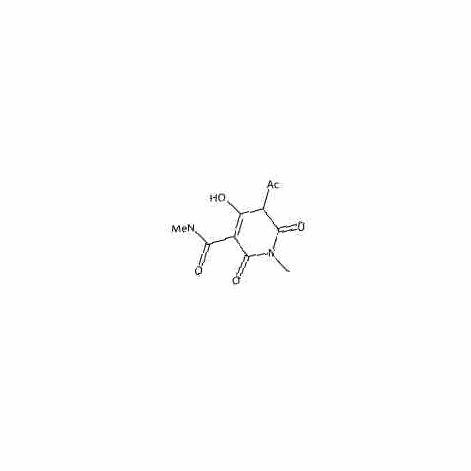 CNC(=O)C1=C(O)C(C(C)=O)C(=O)N(C)C1=O